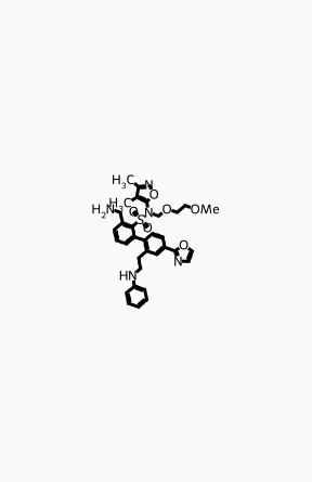 COCCOCN(c1onc(C)c1C)S(=O)(=O)c1c(CN)cccc1-c1ccc(-c2ncco2)cc1CCNc1ccccc1